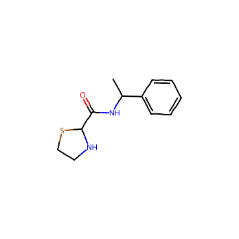 CC(NC(=O)C1NCCS1)c1ccccc1